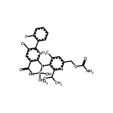 Cc1cc(COC(N)=O)nc(C(C)C)c1N1c2nc(-c3ccccc3F)c(Cl)cc2C(=O)NS1(O)O